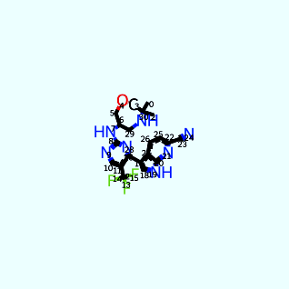 CC1(C)COCC(Nc2ncc(C(F)(F)F)c(-c3c[nH]c4nc(C#N)ccc34)n2)CN1